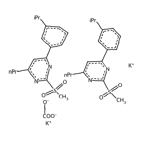 CCCc1cc(-c2cccc(C(C)C)c2)nc(S(C)(=O)=O)n1.CCCc1cc(-c2cccc(C(C)C)c2)nc(S(C)(=O)=O)n1.O=C([O-])[O-].[K+].[K+]